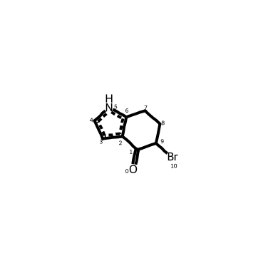 O=C1c2cc[nH]c2CCC1Br